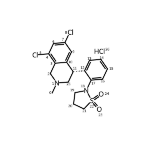 CN1Cc2c(Cl)cc(Cl)cc2[C@H](c2ccccc2N2CCCS2(=O)=O)C1.Cl